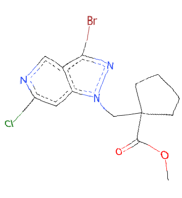 COC(=O)C1(Cn2nc(Br)c3cnc(Cl)cc32)CCCC1